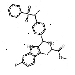 COC(=O)C1Cc2c([nH]c3cc(F)ccc23)C(c2ccc(N(C)S(=O)(=O)c3ccccc3)cc2)N1